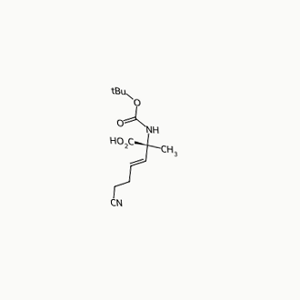 CC(C)(C)OC(=O)N[C@](C)(/C=C/CCC#N)C(=O)O